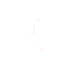 CC1OC1OO